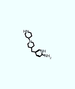 NC1C=CC(CC2CCN(C3CCNCC3)CC2)=CN1